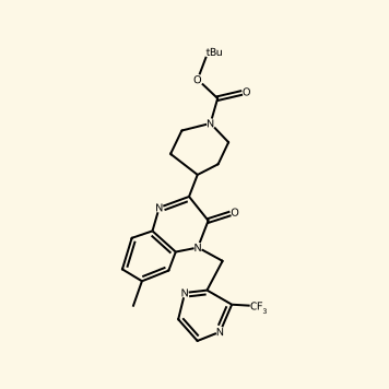 Cc1ccc2nc(C3CCN(C(=O)OC(C)(C)C)CC3)c(=O)n(Cc3nccnc3C(F)(F)F)c2c1